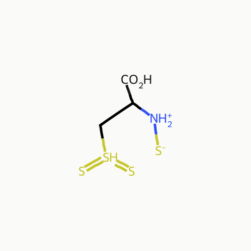 O=C(O)C(C[SH](=S)=S)[NH2+][S-]